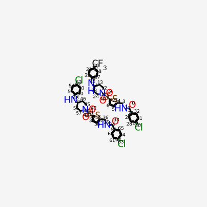 O=C(NCc1ccc(S(=O)(=O)N2CCC(Nc3ccc(C(F)(F)F)cc3)CC2)s1)c1ccc(Cl)cc1.O=C(NCc1ccc(S(=O)(=O)N2CCC(Nc3ccc(Cl)cc3)CC2)s1)c1ccc(Cl)cc1